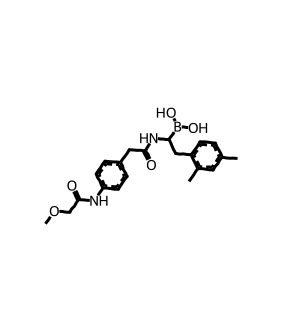 COCC(=O)Nc1ccc(CC(=O)NC(Cc2ccc(C)cc2C)B(O)O)cc1